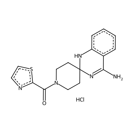 Cl.NC1=NC2(CCN(C(=O)c3nccs3)CC2)Nc2ccccc21